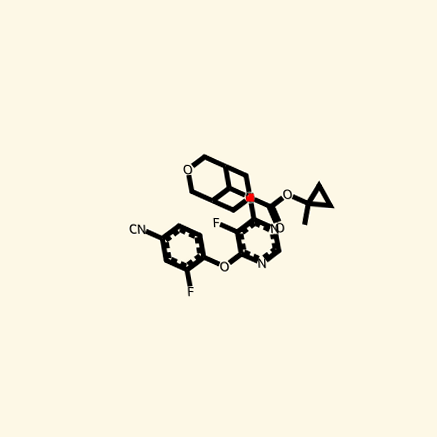 [C-]#[N+]c1ccc(Oc2ncnc(OC3C4COCC3CN(C(=O)OC3(C)CC3)C4)c2F)c(F)c1